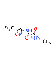 CCNC(=O)C(=O)Nc1cc(C)on1